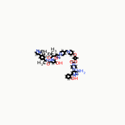 CC(C)[C@@H](C(=O)N1C[C@H](O)C[C@H]1C(=O)N[C@@H](C)c1ccc(-c2ccnn2C)cc1)c1cc(N2CCC(CN3CCC(O[C@H]4C[C@H](OC(=O)N5CCN(c6cc(-c7ccccc7O)nnc6N)CC5)C4)CC3)CC2)no1